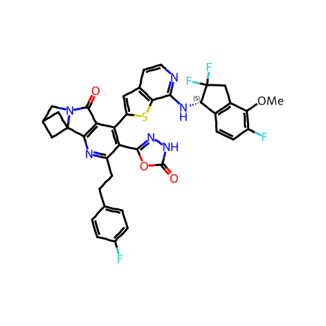 COc1c(F)ccc2c1CC(F)(F)[C@H]2Nc1nccc2cc(-c3c4c(nc(CCc5ccc(F)cc5)c3-c3n[nH]c(=O)o3)C35CC(CN3C4=O)C5)sc12